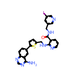 Nc1ncnc2ccc(-c3ccc(CNc4ncccc4C(=O)NCc4cncc(I)c4)s3)cc12